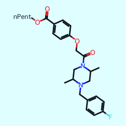 CCCCCOC(=O)c1ccc(OCC(=O)N2CC(C)N(Cc3ccc(F)cc3)CC2C)cc1